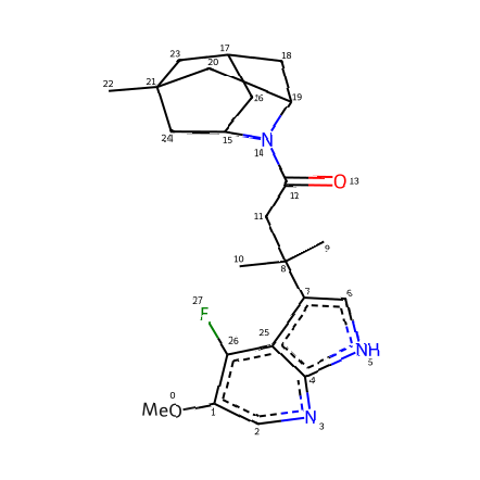 COc1cnc2[nH]cc(C(C)(C)CC(=O)N3C4CC5CC3CC(C)(C5)C4)c2c1F